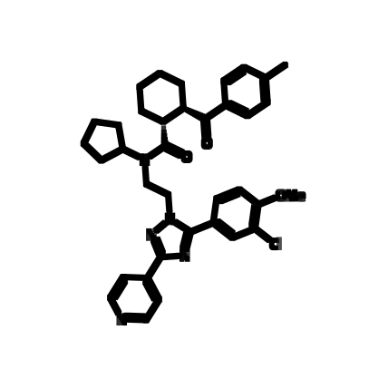 COc1ccc(-c2nc(-c3ccncc3)nn2CCN(C(=O)[C@@H]2CCCC[C@H]2C(=O)c2ccc(C)cc2)C2CCCC2)cc1Cl